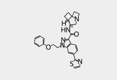 O=C(N[C@@H]1CN2CCC23CC[C@H]13)c1nn(CCOc2ccccc2)c2cc(-c3nccs3)ccc12